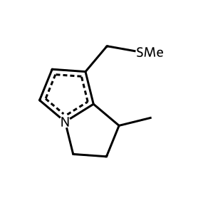 CSCc1ccn2c1C(C)CC2